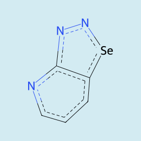 c1cnc2nn[se]c2c1